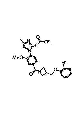 CCc1ccccc1OCC1CN(C(=O)c2ccc(-n3cc(C)nc3OC(=O)C(F)(F)F)c(OC)c2)C1